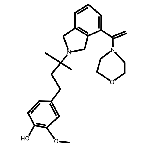 C=C(c1cccc2c1CN(C(C)(C)CCc1ccc(O)c(OC)c1)C2)N1CCOCC1